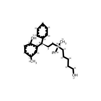 Cc1ccc(O)c([C@H](CC[N+](C)(CCCCCO)C(C)C)c2ccccc2)c1